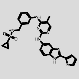 Cc1cnc(Nc2ccc3[nH]c(-c4cccs4)nc3c2)nc1Nc1cccc(CNS(=O)(=O)C2CC2)c1